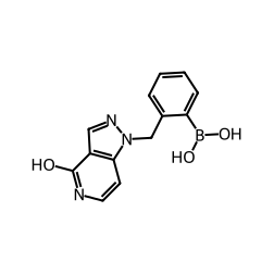 OB(O)c1ccccc1Cn1ncc2c(O)nccc21